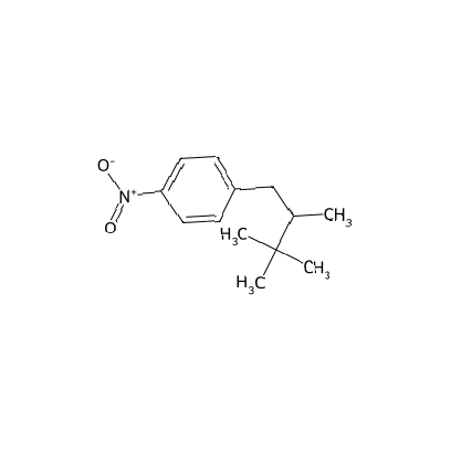 CC(Cc1ccc([N+](=O)[O-])cc1)C(C)(C)C